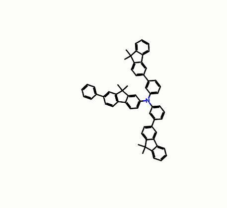 CC1(C)c2ccccc2-c2cc(-c3cccc(N(c4cccc(-c5ccc6c(c5)-c5ccccc5C6(C)C)c4)c4ccc5c(c4)C(C)(C)c4cc(-c6ccccc6)ccc4-5)c3)ccc21